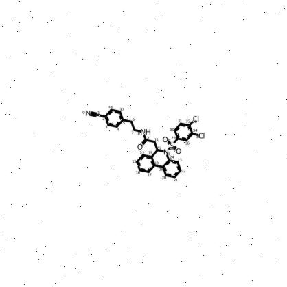 N#Cc1ccc(CCNC(=O)CC2c3ccccc3-c3ccccc3N2S(=O)(=O)c2ccc(Cl)c(Cl)c2)cc1